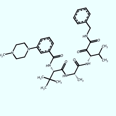 CC(C)[C@H](NC(=O)[C@H](C)NC(=O)[C@@H](NC(=O)c1cccc(N2CCN(C)CC2)c1)C(C)(C)C)C(=O)C(=O)NCc1ccccc1